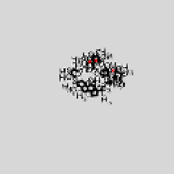 C[C@@H]1[C@@H](O)[C@H](OC[C@H]2O[C@@H](O[C@H](CC[C@@H](C)C3CC[C@@]4(C)C5CC=C6C(CC[C@H](O[C@@H]7O[C@H](CO[C@@H]8O[C@H](CO)[C@@H](O)[C@H](O)[C@H]8O)[C@@H](O)[C@H](O)[C@H]7O)C6(C)C)[C@]5(C)[C@H](O)C[C@]34C)C(C)(C)O)[C@H](OC3O[C@@H](CO)[C@H](O)[C@@H](O)[C@@H]3O)[C@@H](O)[C@@H]2O)O[C@H](CO)[C@H]1O